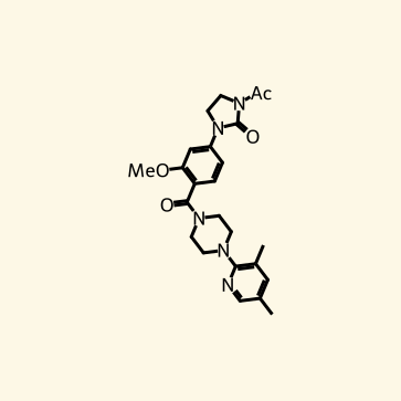 COc1cc(N2CCN(C(C)=O)C2=O)ccc1C(=O)N1CCN(c2ncc(C)cc2C)CC1